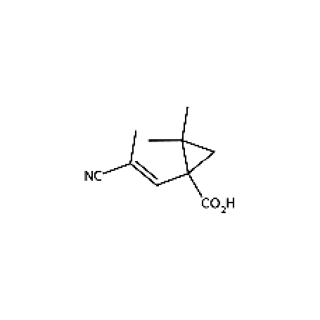 CC(C#N)=CC1(C(=O)O)CC1(C)C